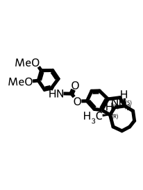 COc1ccc(NC(=O)Oc2ccc3c(c2)[C@@]2(C)CCCCC[C@@H](C3)[C@@H]2N)cc1OC